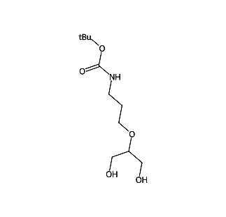 CC(C)(C)OC(=O)NCCCOC(CO)CO